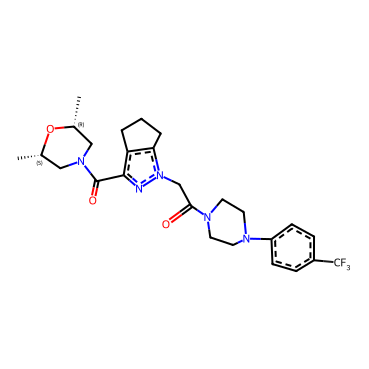 C[C@@H]1CN(C(=O)c2nn(CC(=O)N3CCN(c4ccc(C(F)(F)F)cc4)CC3)c3c2CCC3)C[C@H](C)O1